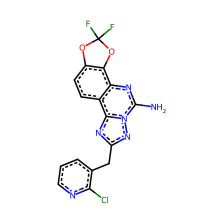 Nc1nc2c3c(ccc2c2nc(Cc4cccnc4Cl)nn12)OC(F)(F)O3